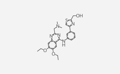 CCOc1cc2nc(CN(C)C)nc(Nc3cccc(-c4csc(CO)n4)c3)c2cc1OCC